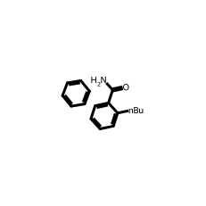 CCCCc1ccccc1C(N)=O.c1ccccc1